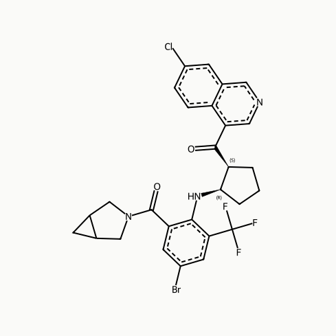 O=C(c1cncc2cc(Cl)ccc12)[C@H]1CCC[C@H]1Nc1c(C(=O)N2CC3CC3C2)cc(Br)cc1C(F)(F)F